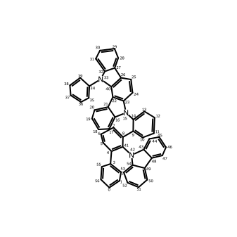 c1ccc(-c2cccc(-c3ccccc3-n3c4ccccc4c4c3ccc3c5ccccc5n(-c5ccccc5)c34)c2-n2c3ccccc3c3ccccc32)cc1